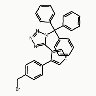 BrCc1ccc(-c2cscc2-c2nnnn2C(c2ccccc2)(c2ccccc2)c2ccccc2)cc1